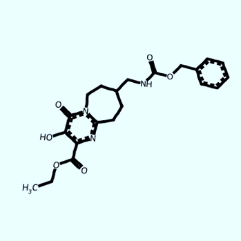 CCOC(=O)c1nc2n(c(=O)c1O)CCC(CNC(=O)OCc1ccccc1)CC2